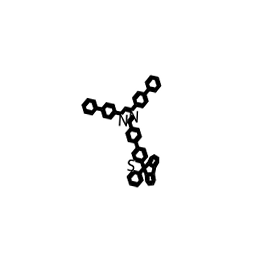 c1ccc(-c2ccc(-c3cc(-c4ccc(-c5ccccc5)cc4)nc(-c4ccc(-c5ccc6c(c5)Sc5ccccc5C65c6ccccc6-c6ccccc65)cc4)n3)cc2)cc1